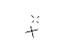 CC(C)(C)O[Si](Cl)(Cl)Cl